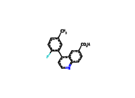 O=C(O)c1ccc2nccc(-c3cc(C(F)(F)F)ccc3F)c2c1